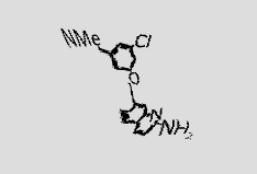 CNCc1cc(Cl)cc(OCc2ccc3ccc(N)nc3c2)c1